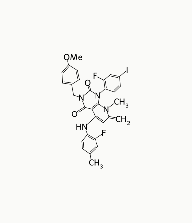 C=C1C=C(Nc2ccc(C)cc2F)c2c(n(-c3ccc(I)cc3F)c(=O)n(Cc3ccc(OC)cc3)c2=O)N1C